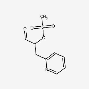 CS(=O)(=O)OC(C=O)Cc1ccccn1